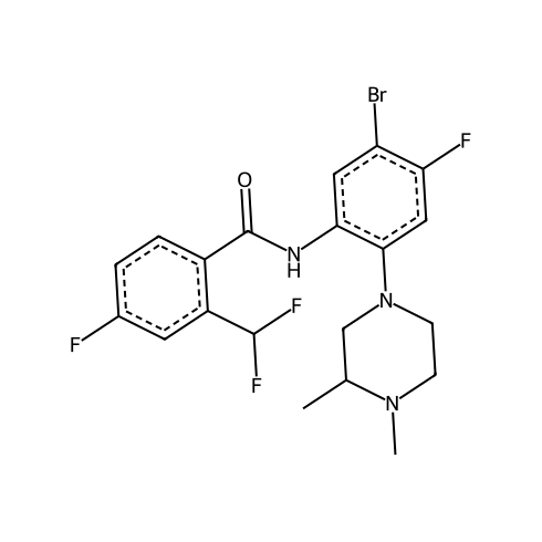 CC1CN(c2cc(F)c(Br)cc2NC(=O)c2ccc(F)cc2C(F)F)CCN1C